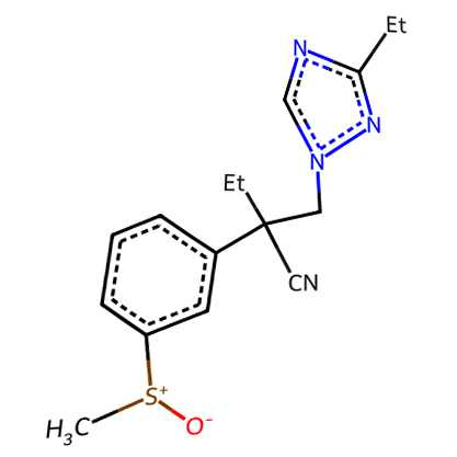 CCc1ncn(CC(C#N)(CC)c2cccc([S+](C)[O-])c2)n1